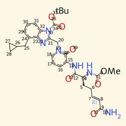 COC(=O)N[C@@H](CC/C=C/C(N)=O)C(=O)Nc1cccn(Cc2nc3c(CC4CC4)cccc3n2C(=O)OC(C)(C)C)c1=O